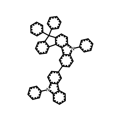 c1ccc(-n2c3ccccc3c3cc(-c4ccc5c(c4)c4c6c(ccc4n5-c4ccccc4)C(c4ccccc4)(c4ccccc4)c4ccccc4-6)ccc32)cc1